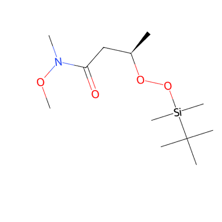 CON(C)C(=O)C[C@@H](C)OO[Si](C)(C)C(C)(C)C